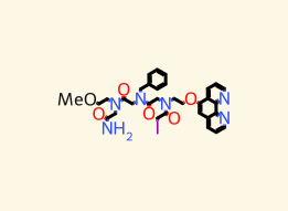 COCCN(CC(N)=O)C(=O)CN(Cc1ccccc1)C(=O)CN(CCOc1cc2cccnc2c2ncccc12)C(=O)CI